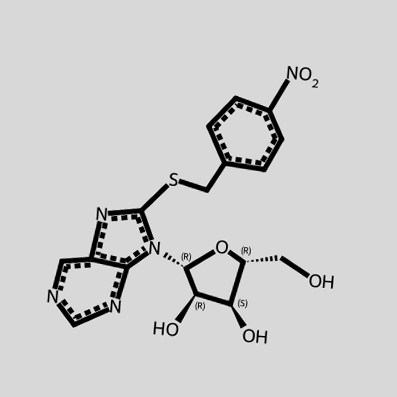 O=[N+]([O-])c1ccc(CSc2nc3cncnc3n2[C@@H]2O[C@H](CO)[C@@H](O)[C@H]2O)cc1